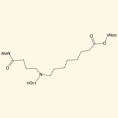 CCCCCCCCCOC(=O)CCCCCCCN(CCCCCCCC)CCCC(=O)NC